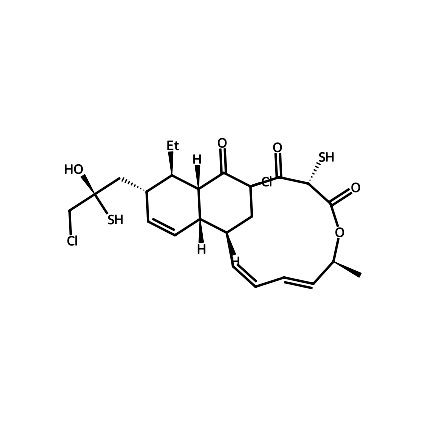 CC[C@H]1[C@@H]2C(=O)C3(Cl)C[C@H](/C=C\C=C\[C@H](C)OC(=O)[C@@H](S)C3=O)[C@@H]2C=C[C@@H]1C[C@](O)(S)CCl